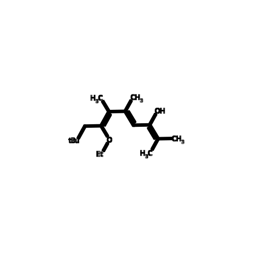 CCO/C(CC(C)(C)C)=C(C)\C(C)=C\C(O)=C(C)C